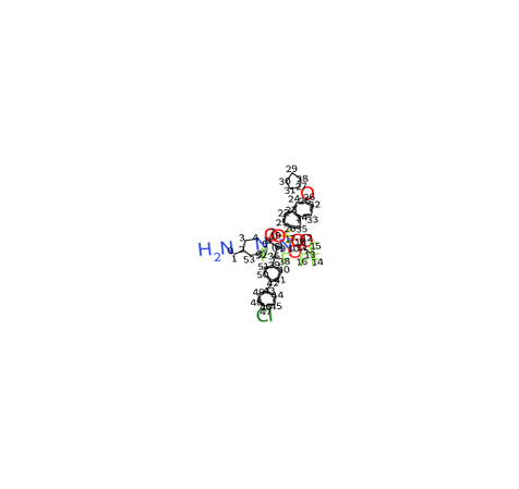 NCC1CCN(C(=O)[C@H](N(OC(=O)C(F)(F)F)S(=O)(=O)c2ccc3cc(OC4CCCC4)ccc3c2)C(F)(F)c2ccc(-c3ccc(Cl)cc3)cc2)CC1